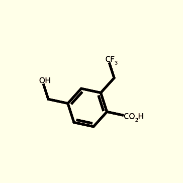 O=C(O)c1ccc(CO)cc1CC(F)(F)F